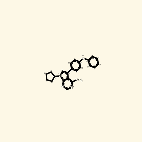 [AsH2]c1ncnc2c1c(-c1ccc(Oc3ccccc3)cc1)cn2C1C[CH]CC1